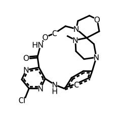 CN1CCN2CC13COCCN3CCONC(=O)c1ncc(Cl)nc1Nc1ccc2cc1